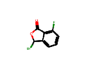 O=C1OC(Br)c2cccc(F)c21